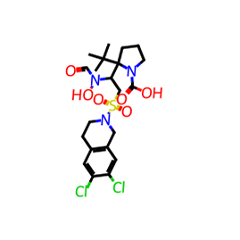 CC(C)(C)C1(C(CS(=O)(=O)N2CCc3cc(Cl)c(Cl)cc3C2)N(O)C=O)CCCN1C(=O)O